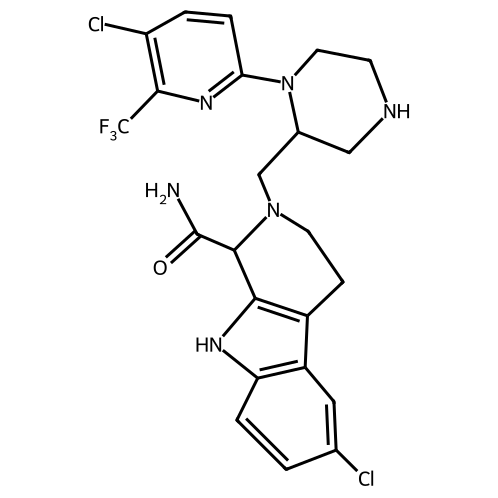 NC(=O)C1c2[nH]c3ccc(Cl)cc3c2CCN1CC1CNCCN1c1ccc(Cl)c(C(F)(F)F)n1